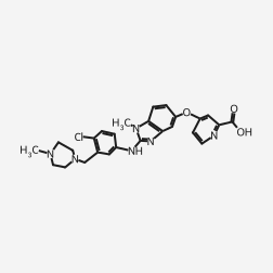 CN1CCN(Cc2cc(Nc3nc4cc(Oc5ccnc(C(=O)O)c5)ccc4n3C)ccc2Cl)CC1